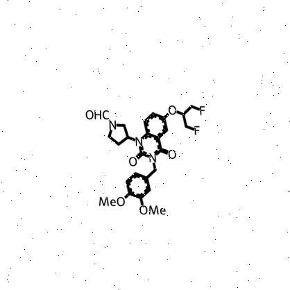 COc1ccc(Cn2c(=O)c3cc(OC(CF)CF)ccc3n(C3CCN(C=O)C3)c2=O)cc1OC